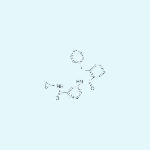 O=C(NC1CC1)c1cccc(NC(=O)c2ccccc2Cc2ccccc2)c1